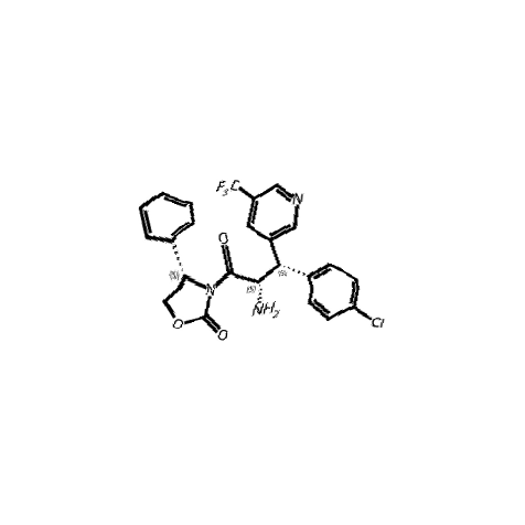 N[C@H](C(=O)N1C(=O)OC[C@@H]1c1ccccc1)[C@@H](c1ccc(Cl)cc1)c1cncc(C(F)(F)F)c1